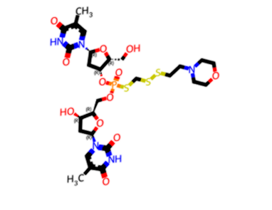 Cc1cn([C@H]2C[C@@H](O)[C@@H](COP(=O)(O[C@@H]3C[C@H](n4cc(C)c(=O)[nH]c4=O)O[C@@H]3CO)SCSSCCN3CCOCC3)O2)c(=O)[nH]c1=O